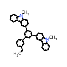 C=Cc1cccc(-c2cc(-c3ccc4c(c3)c3ccccc3n4C)cc(-c3ccc4c(c3)c3ccccc3n4C)c2)c1